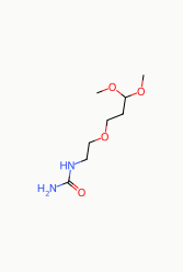 COC(CCOCCNC(N)=O)OC